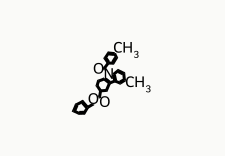 Cc1ccc(C(=O)n2c3c(c4cc(C)ccc42)CC(C(=O)OCc2ccccc2)CC3)cc1